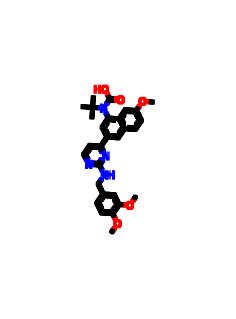 COc1ccc2cc(-c3ccnc(NCc4ccc(OC)c(OC)c4)n3)cc(N(C(=O)O)C(C)(C)C)c2c1